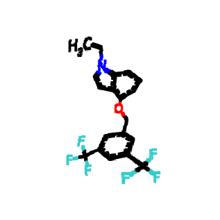 CCn1ccc2c(OCc3cc(C(F)(F)F)cc(C(F)(F)F)c3)cccc21